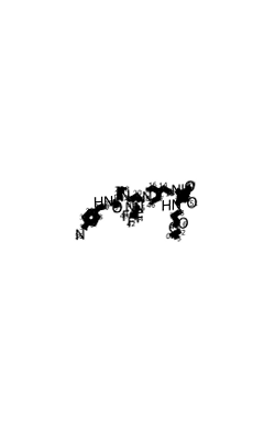 CC(C)(C)OC(=O)CCNc1c(NCCC2CCN(c3cc(N4CC[C@H]4C(=O)NCCc4ccc(C#N)cc4)nc(C(F)(F)F)n3)CC2)c(=O)c1=O